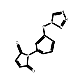 O=C1C=CC(=O)N1c1cccc(Sn2cnnn2)c1